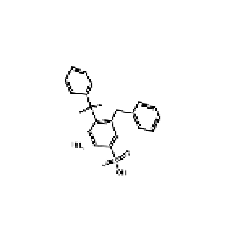 CC(C)(c1ccccc1)c1ccc(S(=O)(=O)O)cc1Cc1ccccc1.N